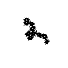 c1ccc(-c2cccc(-c3ccc(-c4nc(-c5ccc(-c6cccc(-c7cccc8ccccc78)c6)cc5)c5c6ccccc6c6ccccc6c5n4)cc3)c2)cc1